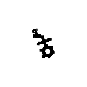 FC(F)(CNCl)c1ccccc1